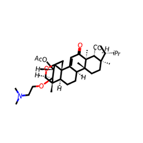 CC(=O)O[C@H]1[C@H](OCCN(C)C)[C@@]2(C)COC13C[C@]31C3=CC(=O)[C@@]4(C)[C@H](C(=O)O)[C@@](C)([C@H](C)C(C)C)CC[C@]4(C)[C@H]3CC[C@@H]21